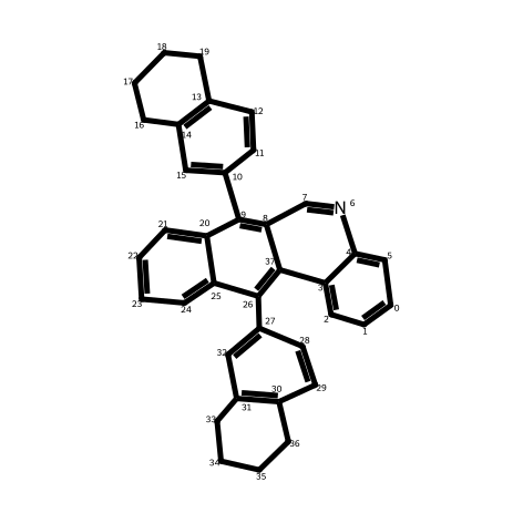 c1ccc2c(c1)ncc1c(-c3ccc4c(c3)CCCC4)c3ccccc3c(-c3ccc4c(c3)CCCC4)c12